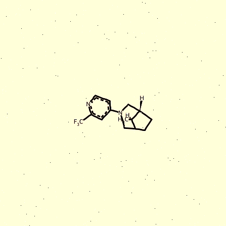 C[C@@H]1C2CC[C@H]1CN(c1ccnc(C(F)(F)F)c1)C2